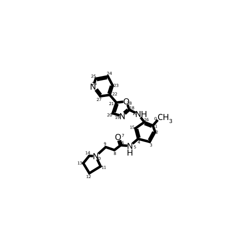 Cc1ccc(NC(=O)CCN2CCCC2)cc1Nc1ncc(-c2cccnc2)o1